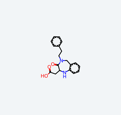 O=C(O)CC1Nc2ccccc2CN(CCc2ccccc2)C1=O